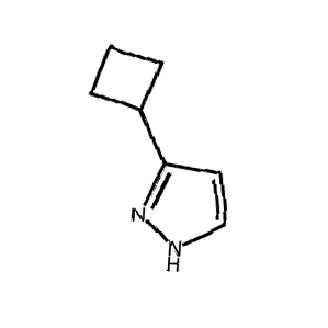 c1cc(C2CCC2)n[nH]1